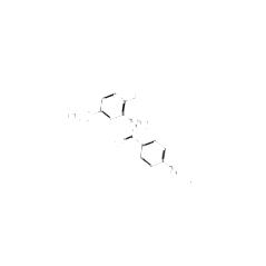 Cc1ccc(Cl)c(NC(=O)c2ccc(N)cc2)c1